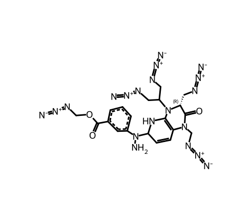 [N-]=[N+]=NCOC(=O)c1cccc(N(N)C2C=CC3=C(N2)N(C(CN=[N+]=[N-])CN=[N+]=[N-])[C@H](CN=[N+]=[N-])C(=O)N3CN=[N+]=[N-])c1